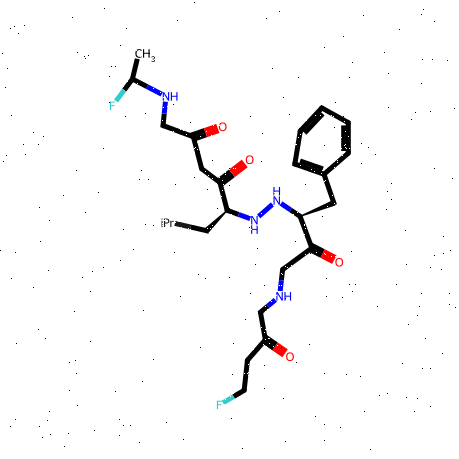 CC(C)C[C@H](NN[C@@H](Cc1ccccc1)C(=O)CNCC(=O)CCF)C(=O)CC(=O)CNC(C)F